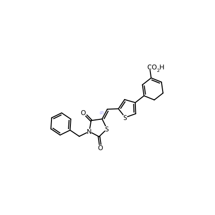 O=C(O)C1=CCCC(c2csc(/C=C3\SC(=O)N(Cc4ccccc4)C3=O)c2)=C1